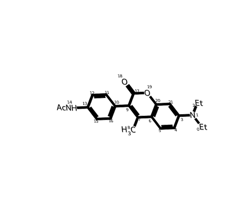 CCN(CC)c1ccc2c(C)c(-c3ccc(NC(C)=O)cc3)c(=O)oc2c1